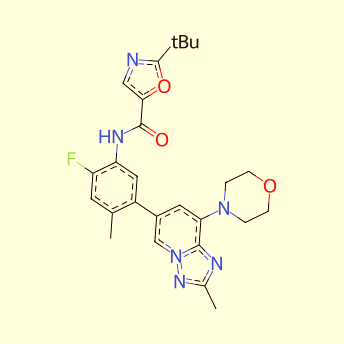 Cc1nc2c(N3CCOCC3)cc(-c3cc(NC(=O)c4cnc(C(C)(C)C)o4)c(F)cc3C)cn2n1